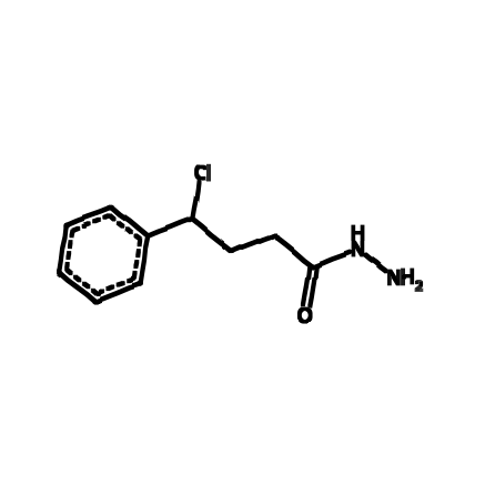 NNC(=O)CCC(Cl)c1ccccc1